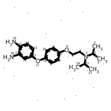 CC(C)N(CCOc1ccc(Oc2ccc(N)c(N)c2)cc1)C(C)C